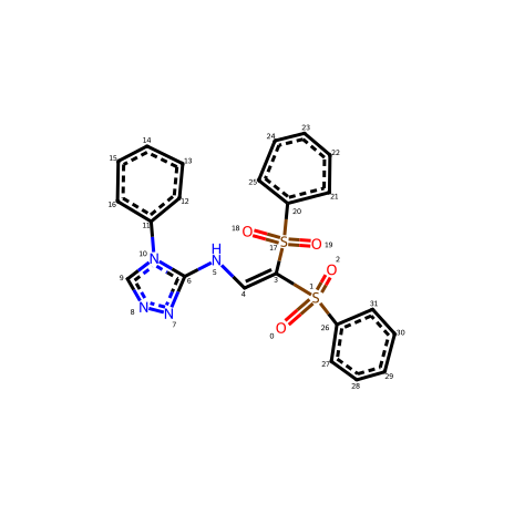 O=S(=O)(C(=CNc1nncn1-c1ccccc1)S(=O)(=O)c1ccccc1)c1ccccc1